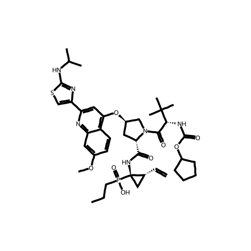 C=C[C@@H]1C[C@]1(NC(=O)[C@@H]1C[C@@H](Oc2cc(-c3csc(NC(C)C)n3)nc3cc(OC)ccc23)CN1C(=O)[C@@H](NC(=O)OC1CCCC1)C(C)(C)C)P(=O)(O)CCC